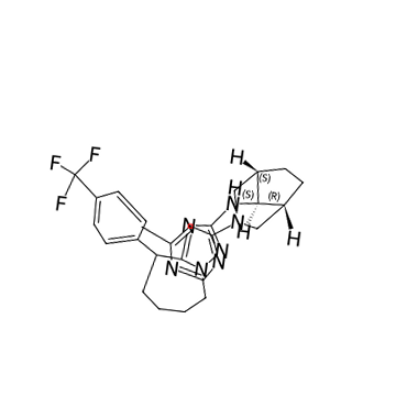 Cc1cc(N2C[C@H]3CC[C@@H](C2)[C@@H]3Nc2nc3n(n2)CCCCC3c2ccc(C(F)(F)F)cc2)ncn1